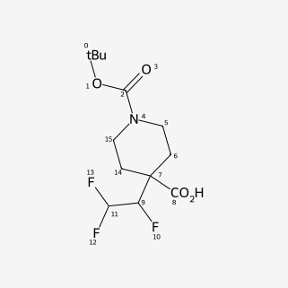 CC(C)(C)OC(=O)N1CCC(C(=O)O)(C(F)C(F)F)CC1